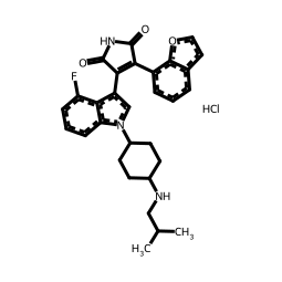 CC(C)CNC1CCC(n2cc(C3=C(c4cccc5ccoc45)C(=O)NC3=O)c3c(F)cccc32)CC1.Cl